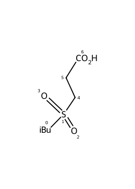 CCC(C)S(=O)(=O)CCC(=O)O